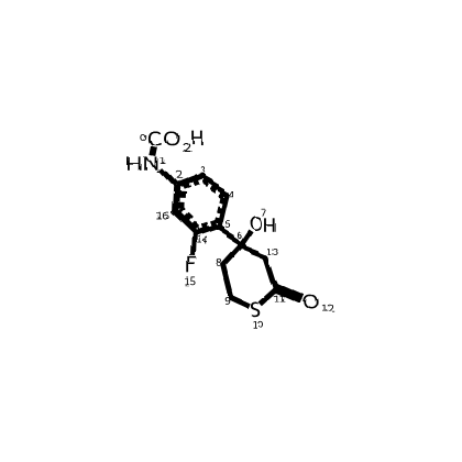 O=C(O)Nc1ccc(C2(O)CCSC(=O)C2)c(F)c1